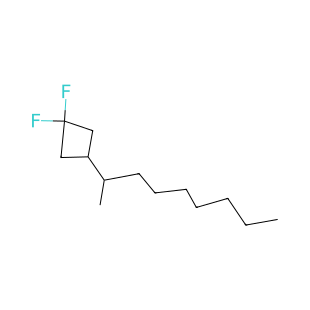 CCCCCCCC(C)C1CC(F)(F)C1